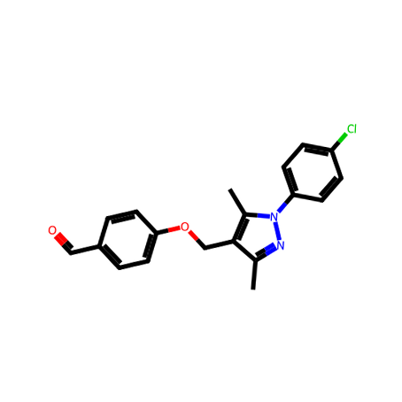 Cc1nn(-c2ccc(Cl)cc2)c(C)c1COc1ccc(C=O)cc1